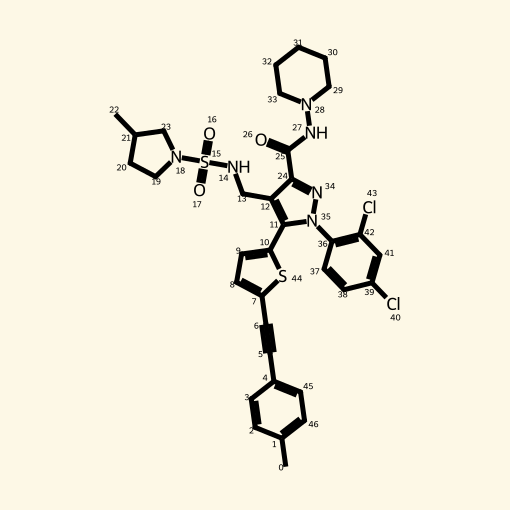 Cc1ccc(C#Cc2ccc(-c3c(CNS(=O)(=O)N4CCC(C)C4)c(C(=O)NN4CCCCC4)nn3-c3ccc(Cl)cc3Cl)s2)cc1